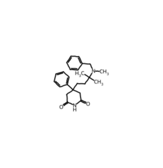 CN(Cc1ccccc1)C(C)(C)CCC1(c2ccccc2)CC(=O)NC(=O)C1